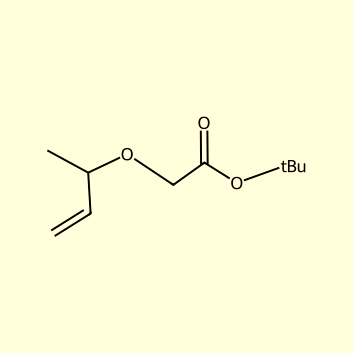 C=CC(C)OCC(=O)OC(C)(C)C